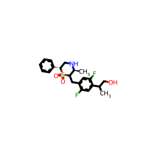 CC(CO)c1cc(F)c(CC2[C@H](C)NC[C@@H](c3ccccc3)S2(=O)=O)cc1F